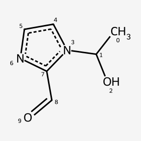 CC(O)n1ccnc1C=O